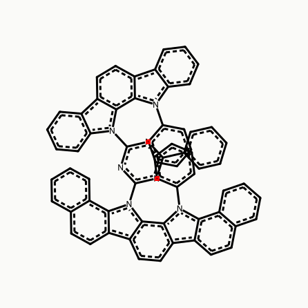 c1ccc(-c2nc(-n3c4ccccc4c4ccc5c6ccccc6n(-c6ccccc6)c5c43)nc(-n3c4c5ccccc5ccc4c4ccc5c6ccc7ccccc7c6n(-c6ccccc6)c5c43)n2)cc1